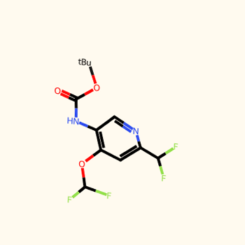 CC(C)(C)OC(=O)Nc1cnc(C(F)F)cc1OC(F)F